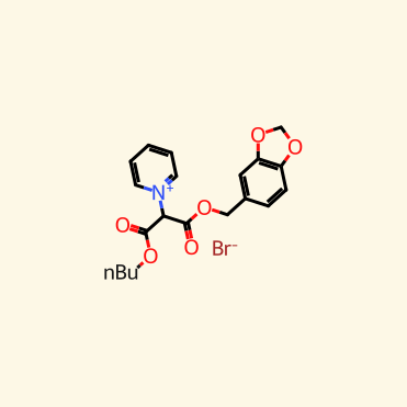 CCCCOC(=O)C(C(=O)OCc1ccc2c(c1)OCO2)[n+]1ccccc1.[Br-]